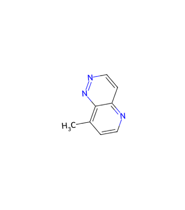 Cc1ccnc2ccnnc12